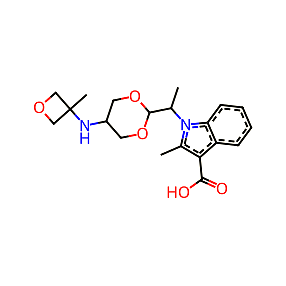 Cc1c(C(=O)O)c2ccccc2n1C(C)C1OCC(NC2(C)COC2)CO1